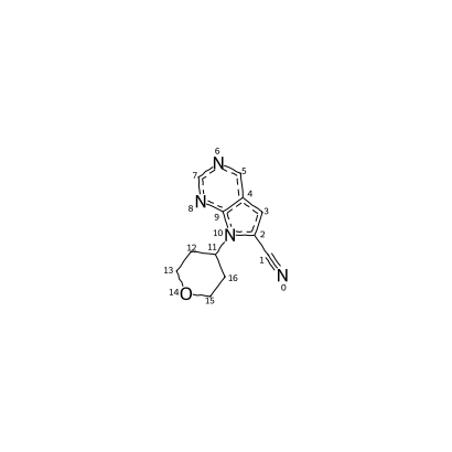 N#Cc1cc2cncnc2n1C1CCOCC1